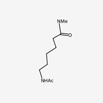 [CH2]NC(=O)CCCCCNC(C)=O